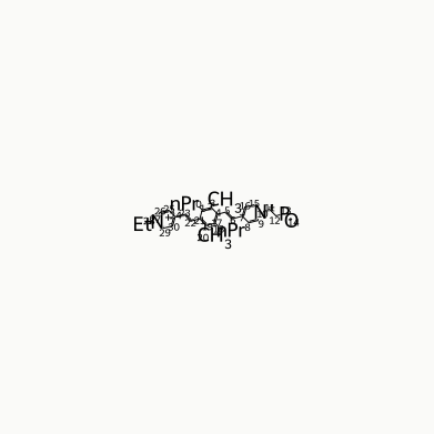 CCCc1c(C)c(/C=C/c2cc[n+](CCP=O)cc2)c(CCC)c(C)c1/C=C/c1cc[n+](CC)cc1